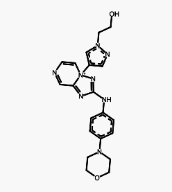 OCCn1cc([N+]23C=CN=CC2=NC(Nc2ccc(N4CCOCC4)cc2)=N3)cn1